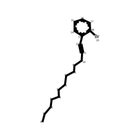 CCCCCCCCCCCC#Cc1ccccc1Br